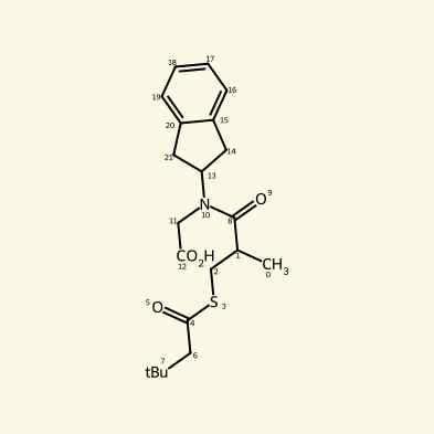 CC(CSC(=O)CC(C)(C)C)C(=O)N(CC(=O)O)C1Cc2ccccc2C1